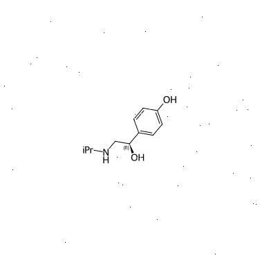 CC(C)NC[C@H](O)c1ccc(O)cc1